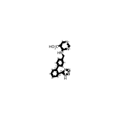 O=C(O)c1cncnc1NCc1ccc(-c2ccccc2-c2nnn[nH]2)cc1